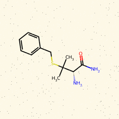 CC(C)(SCc1ccccc1)[C@@H](N)C(N)=O